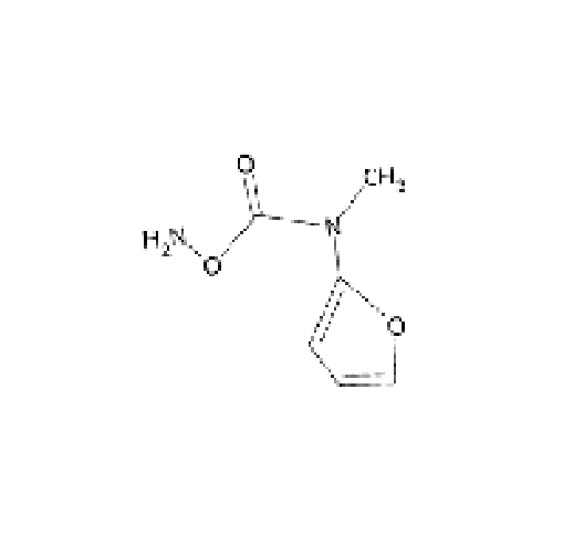 CN(C(=O)ON)c1ccco1